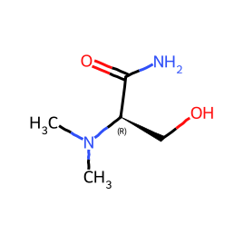 CN(C)[C@H](CO)C(N)=O